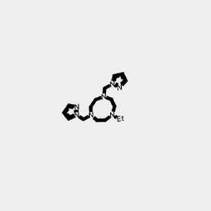 CCN1CCN(Cn2cccn2)CCN(Cn2cccn2)CC1